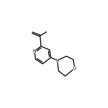 C=C(C)c1cc(N2CCOCC2)ccn1